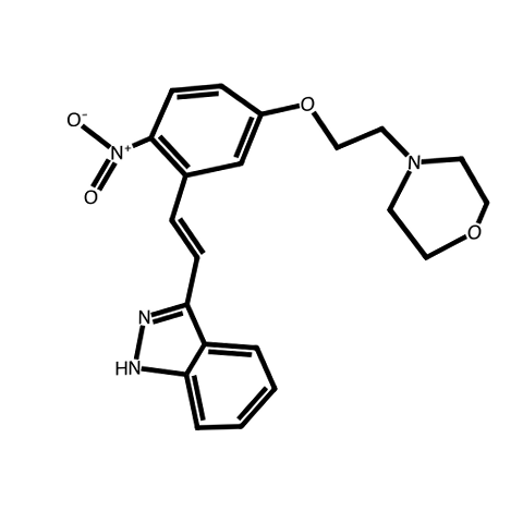 O=[N+]([O-])c1ccc(OCCN2CCOCC2)cc1C=Cc1n[nH]c2ccccc12